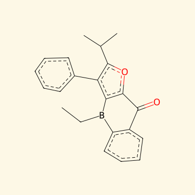 CCB1c2ccccc2C(=O)c2oc(C(C)C)c(-c3ccccc3)c21